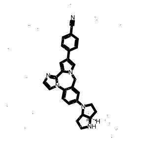 N#Cc1ccc(-c2cc3n(c2)Cc2cc(N4CC[C@H]5NCCC54)ccc2-n2ccnc2-3)cc1